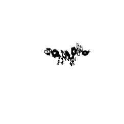 O=C(Nc1cccc(F)c1)Nc1cccc(-c2nc3sccn3c2-c2ccnc(Nc3ccc(N4CCOCC4)cc3)n2)c1